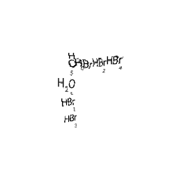 Br.Br.Br.Br.Br.O.O